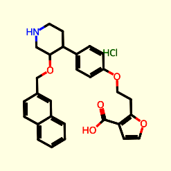 Cl.O=C(O)c1ccoc1CCOc1ccc(C2CCNCC2OCc2ccc3ccccc3c2)cc1